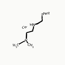 CCCCCCNCCN(C)C.[Co]